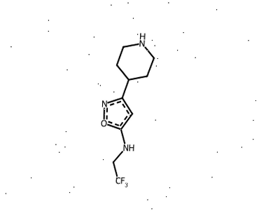 FC(F)(F)CNc1cc(C2CCNCC2)no1